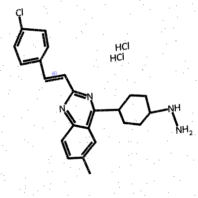 Cc1ccc2nc(/C=C/c3ccc(Cl)cc3)nc(C3CCC(NN)CC3)c2c1.Cl.Cl